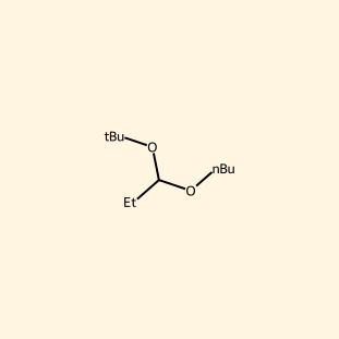 CCCCOC(CC)OC(C)(C)C